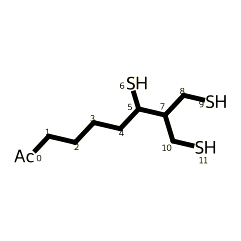 CC(=O)CCCCC(S)C(CS)CS